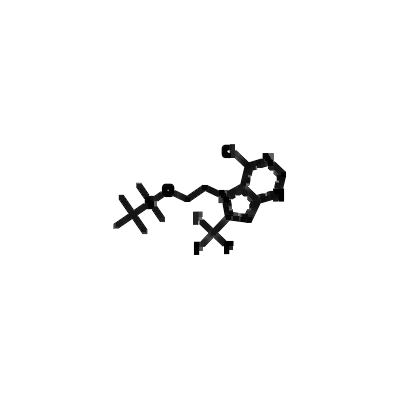 CC(C)(C)[Si](C)(C)OCCn1c(C(F)(F)F)cc2ncnc(Cl)c21